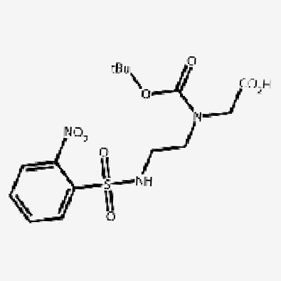 CC(C)(C)OC(=O)N(CCNS(=O)(=O)c1ccccc1[N+](=O)[O-])CC(=O)O